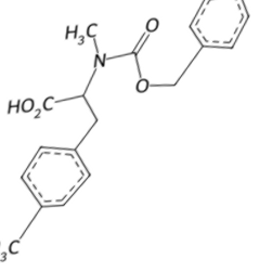 Cc1ccc(CC(C(=O)O)N(C)C(=O)OCc2ccccc2)cc1